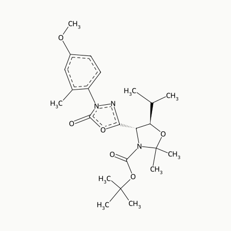 COc1ccc(-n2nc([C@@H]3[C@@H](C(C)C)OC(C)(C)N3C(=O)OC(C)(C)C)oc2=O)c(C)c1